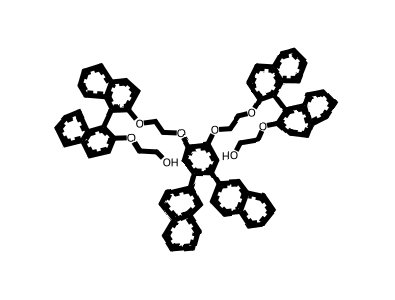 OCCOc1ccc2ccccc2c1-c1c(OCCOc2cc(-c3ccc4ccccc4c3)c(-c3ccc4ccccc4c3)cc2OCCOc2ccc3ccccc3c2-c2c(OCCO)ccc3ccccc23)ccc2ccccc12